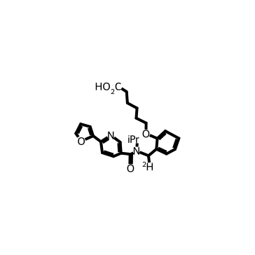 [2H]C(c1ccccc1OCCCCCC(=O)O)N(C(=O)c1ccc(-c2ccco2)nc1)C(C)C